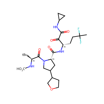 CC(F)(F)CC[C@H](NC(=O)[C@@H]1CC(C2CCOC2)CN1C(=O)[C@@H](NC(=O)O)C(C)(C)C)C(=O)C(=O)NC1CC1